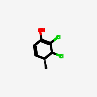 C[C@@H]1C=CC(O)=C(Cl)C1Cl